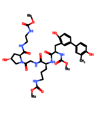 Cc1cc(-c2ccc(O)c(CC(NC(=O)OC(C)(C)C)C(=O)N[C@@H](CCCNC(=O)OC(C)(C)C)C(=O)NCC(=O)N3C[C@H](O)C[C@H]3C(=O)NCCNC(=O)OC(C)(C)C)c2)ccc1O